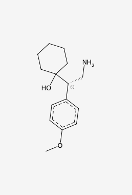 COc1ccc([C@@H](CN)C2(O)CCCCC2)cc1